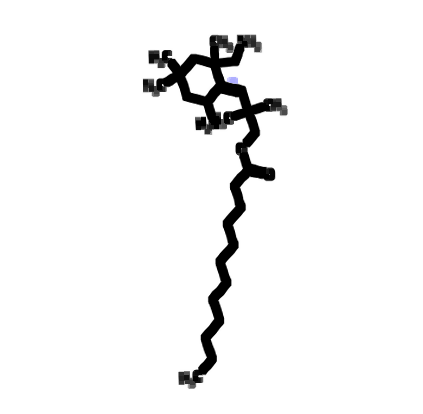 CCCCCCCCCCCC(=O)OCC(C)(C)/C=C1\C(N)CC(C)(C)CC1(C)CN